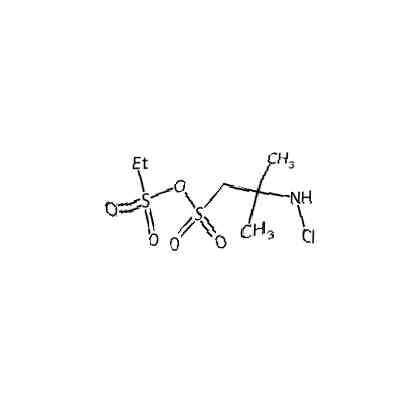 CCS(=O)(=O)OS(=O)(=O)CC(C)(C)NCl